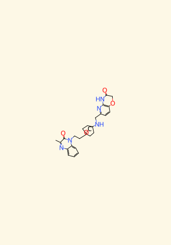 Cc1nc2ccccc2n(CCC23CCC(NCc4ccc5c(n4)NC(=O)CO5)(CC2)CO3)c1=O